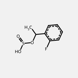 CC(OS(=O)O)c1ccccc1F